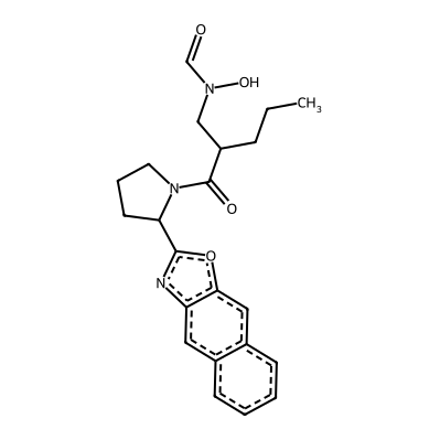 CCCC(CN(O)C=O)C(=O)N1CCCC1c1nc2cc3ccccc3cc2o1